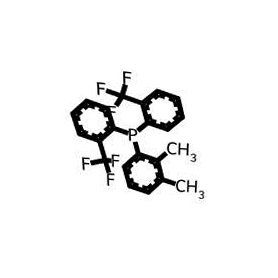 Cc1cccc(P(c2ccccc2C(F)(F)F)c2ccccc2C(F)(F)F)c1C